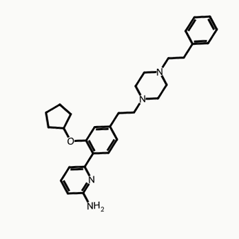 Nc1cccc(-c2ccc(CCN3CCN(CCc4ccccc4)CC3)cc2OC2CCCC2)n1